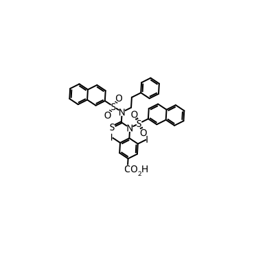 O=C(O)c1cc(I)c(N(C(=S)N(CCc2ccccc2)S(=O)(=O)c2ccc3ccccc3c2)S(=O)(=O)c2ccc3ccccc3c2)c(I)c1